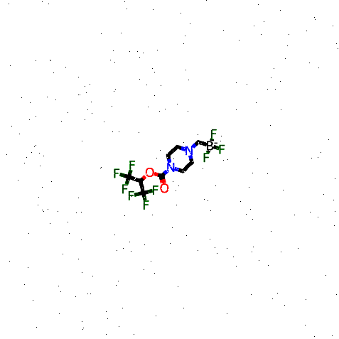 O=C(OC(C(F)(F)F)C(F)(F)F)N1CCN(C[B-](F)(F)F)CC1